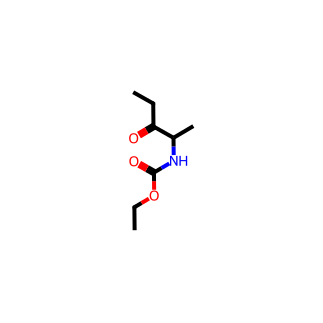 CCOC(=O)NC(C)C(=O)CC